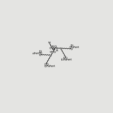 CCCCCC(CC)OC(=O)CCCCCCCCN(CCCCCCCCC(=O)OC(CC)CCCCC)CCCNC(=O)c1cc(C(=O)NCCCN(C)C)cc(C(=O)NCCCN(CCCCCCCCC(=O)OC(CC)CCCCC)CCCCCCCCC(=O)OC(CC)CCCCC)c1